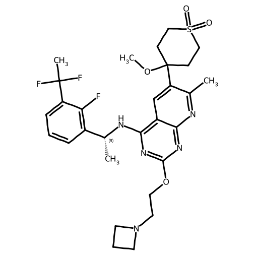 COC1(c2cc3c(N[C@H](C)c4cccc(C(C)(F)F)c4F)nc(OCCN4CCC4)nc3nc2C)CCS(=O)(=O)CC1